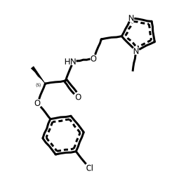 C[C@H](Oc1ccc(Cl)cc1)C(=O)NOCc1nccn1C